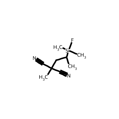 CC(CC(C)(C#N)C#N)[Si](C)(C)F